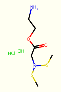 CSN(CC(=O)OCCN)SC.Cl.Cl